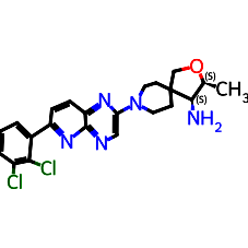 C[C@@H]1OCC2(CCN(c3cnc4nc(-c5cccc(Cl)c5Cl)ccc4n3)CC2)[C@@H]1N